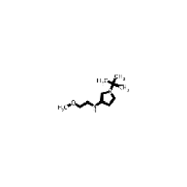 COCCNC1CCN(C(C)(C)C)C1